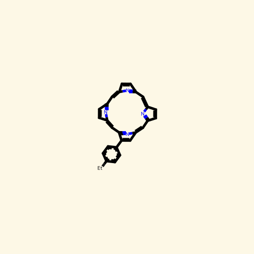 CCc1ccc(C2=CC3=CC4=NC(=CC5=NC(=CC6=NC(=CC2=N3)C=C6)C=C5)C=C4)cc1